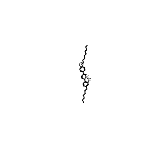 CCCCCCCCCOc1ccc(-c2ccc(-c3ccc(CCCCCCC)cc3F)nc2)cc1